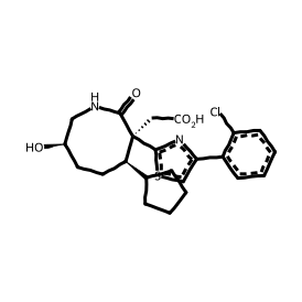 O=C(O)C[C@@]1(c2nc(-c3ccccc3Cl)cs2)C(=O)NC[C@H](O)CC[C@@H]1C1CCCC1